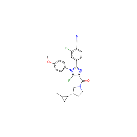 COc1ccc(-n2c(-c3ccc(C#N)c(F)c3)nc(C(=O)N3CC[C@H](C4CC4C)C3)c2F)cc1